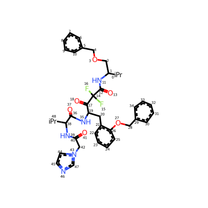 CC(C)C(COCc1ccccc1)NC(=O)C(F)(F)C(=O)C(Cc1ccccc1OCc1ccccc1)NC(=O)C(NC(=O)Cn1ccnc1)C(C)C